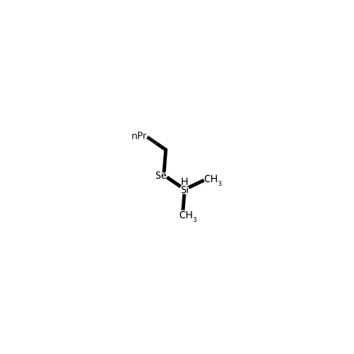 CCCC[Se][SiH](C)C